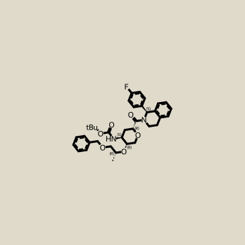 C[C@H](COCc1ccccc1)O[C@H]1CO[C@@H](C(=O)N2CCc3ccccc3[C@@H]2c2ccc(F)cc2)C[C@@H]1NC(=O)OC(C)(C)C